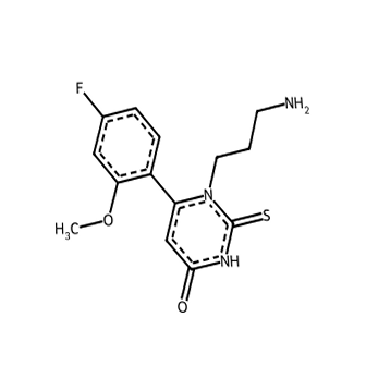 COc1cc(F)ccc1-c1cc(=O)[nH]c(=S)n1CCCN